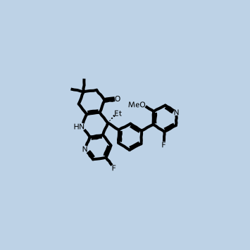 CC[C@@]1(c2cccc(-c3c(F)cncc3OC)c2)C2=C(CC(C)(C)CC2=O)Nc2ncc(F)cc21